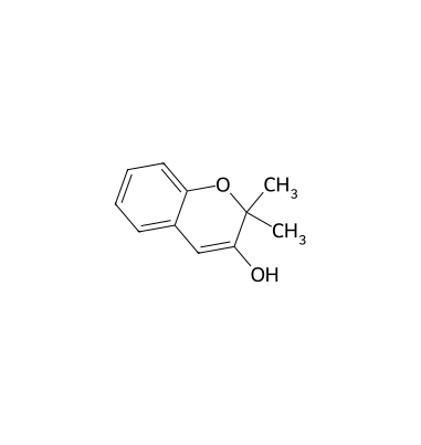 CC1(C)Oc2ccccc2C=C1O